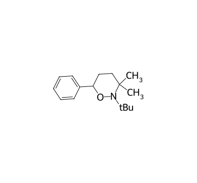 CC(C)(C)N1OC(c2ccccc2)CCC1(C)C